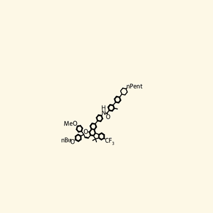 CCCCCC1CCC(c2ccc(-c3ccc(C(=O)Nc4ccc(-c5ccc6c7c(c8c(c6c5)-c5ccc(C(F)(F)F)cc5C8(C)C)C=CC(c5ccc(OC)cc5)(c5ccc(OCCCC)cc5)O7)cc4)cc3C)cc2)CC1